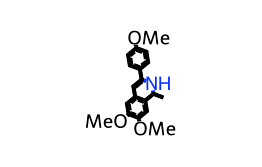 COc1ccc(C2=Cc3cc(OC)c(OC)cc3C(C)N2)cc1